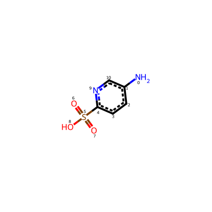 Nc1ccc(S(=O)(=O)O)nc1